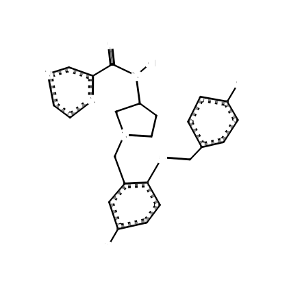 CN(C(=O)c1cnccn1)C1CCN(Cc2cc(Br)ccc2OCc2ccc(Cl)cc2)C1